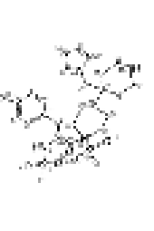 CS(=O)(=O)N[C@@H](Cc1ccc(Cl)cc1)C(=O)[N+]1(S(C)(=O)=O)CCC(C2(Cn3cncn3)CCNCC2)CC1